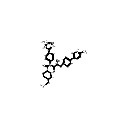 Cl.NC[C@H]1CC[C@H](C(=O)N(C(=O)[C@@H](N)Cc2ccc(-c3ccc(C(F)(F)F)nc3)cc2)c2ccc(-c3nn[nH]n3)cc2)CC1